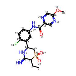 CCC1C(=N)NC(c2cc(NC(=O)c3cnc(OC)cn3)ccc2F)CS1(=O)=O